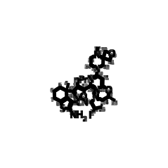 CCCc1c([C@@]2(C)CCCc3sc(N)c(C#N)c32)noc1-c1nc(O[C@@H](C)[C@@H]2C[C@@H](F)CN2C)cc(N2CCN(C)C3(COC3)C2)n1